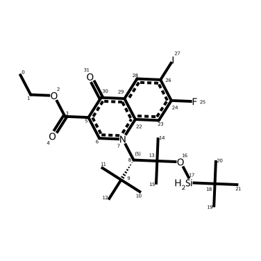 CCOC(=O)c1cn([C@@H](C(C)(C)C)C(C)(C)O[SiH2]C(C)(C)C)c2cc(F)c(I)cc2c1=O